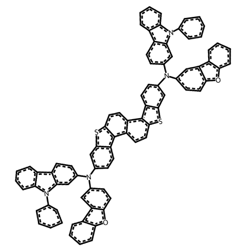 c1ccc(-n2c3ccccc3c3ccc(N(c4ccc5c(c4)sc4ccc6c(ccc7sc8cc(N(c9ccc%10oc%11ccccc%11c%10c9)c9ccc%10c%11ccccc%11n(-c%11ccccc%11)c%10c9)ccc8c76)c45)c4ccc5oc6ccccc6c5c4)cc32)cc1